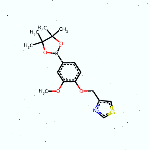 COc1cc(B2OC(C)(C)C(C)(C)O2)ccc1OCc1cscn1